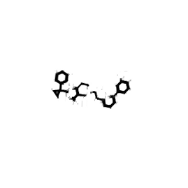 O=C(C(O)c1cccc(-c2cccc(C(F)(F)F)c2)n1)N1CCc2nc(C3(c4ccccc4)CC3)[nH]c(=O)c2C1